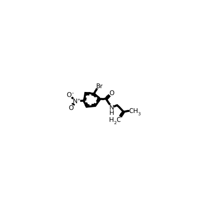 C=C(C)CNC(=O)c1ccc([N+](=O)[O-])cc1Br